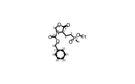 CCOP(C)(=O)CCC1C(=O)OCN1C(=O)OCc1ccccc1